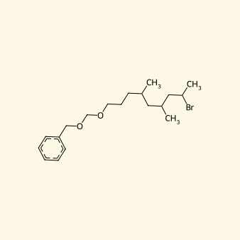 CC(Br)CC(C)CC(C)CCCOCOCc1ccccc1